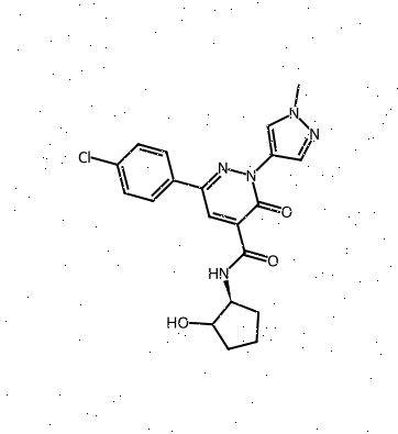 Cn1cc(-n2nc(-c3ccc(Cl)cc3)cc(C(=O)N[C@H]3CCCC3O)c2=O)cn1